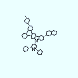 Cc1ccc(-c2ccc3c(c2)c2ccccc2c2cc4c(cc32)c2cc(-c3ccc5ccccc5c3)ccc2n4-c2cc(-c3ccccc3)nc(-c3ccccc3)c2)cc1